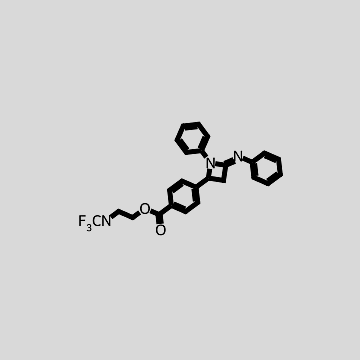 O=C(OCCNC(F)(F)F)c1ccc(C2C/C(=N\c3ccccc3)N2c2ccccc2)cc1